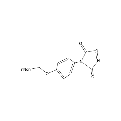 CCCCCCCCCCOc1ccc(N2C(=O)N=NC2=O)cc1